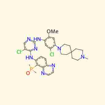 COc1cc(N2CCC3(CCN(C)CC3)CC2)c(Cl)cc1Nc1ncc(Cl)c(Nc2ccc3nccnc3c2P(C)(C)=O)n1